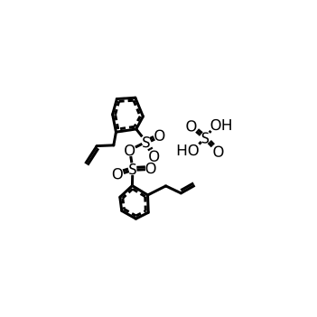 C=CCc1ccccc1S(=O)(=O)OS(=O)(=O)c1ccccc1CC=C.O=S(=O)(O)O